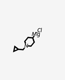 [Cl][Mg][CH]1CCN(CC2CC2)CC1